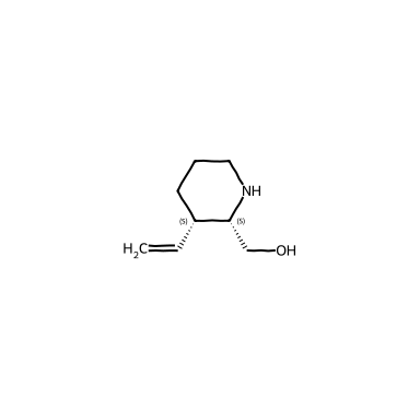 C=C[C@@H]1CCCN[C@@H]1CO